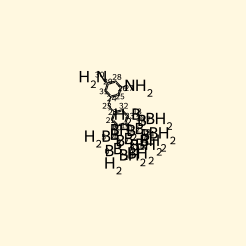 BB(B)B(B(B)B)B(B(B)B)B(B(B(B)B)B(B)B)c1ccc(Cc2cc(N)cc(N)c2)cc1